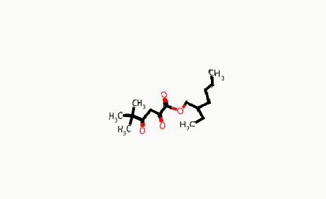 CCCCC(CC)COC(=O)C(=O)CC(=O)C(C)(C)C